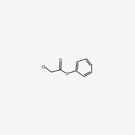 O=C(CCl)Oc1cc[c]cc1